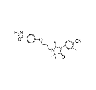 Cc1cc(N2C(=O)C(C)(C)N(CCCOc3ccc(C(N)=O)cc3)C2=S)ccc1C#N